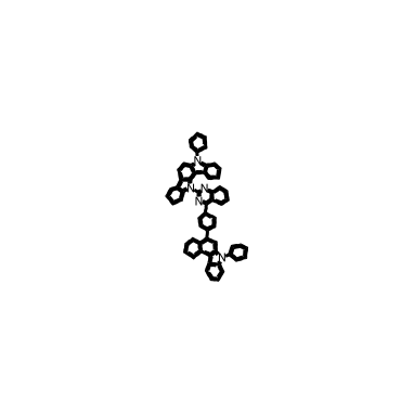 c1ccc(-n2c3ccccc3c3c4ccccc4c(-c4ccc(-c5nc(-n6c7ccccc7c7ccc8c(c9ccccc9n8-c8ccccc8)c76)nc6ccccc56)cc4)cc32)cc1